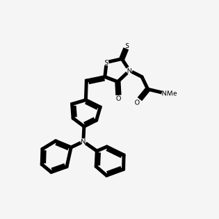 CNC(=O)CN1C(=O)/C(=C\c2ccc(N(c3ccccc3)c3ccccc3)cc2)SC1=S